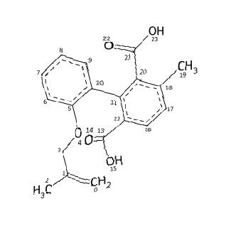 C=C(C)COc1ccccc1-c1c(C(=O)O)ccc(C)c1C(=O)O